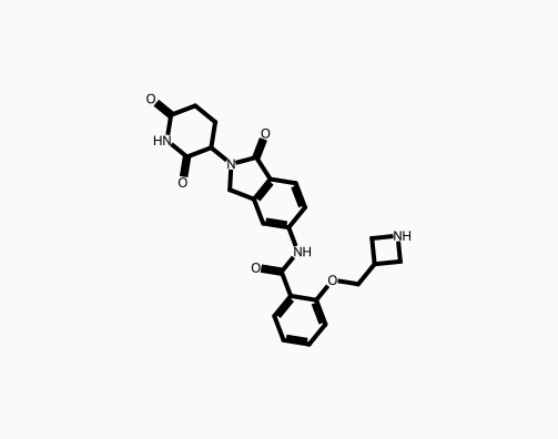 O=C1CCC(N2Cc3cc(NC(=O)c4ccccc4OCC4CNC4)ccc3C2=O)C(=O)N1